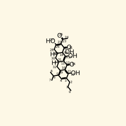 CCCc1cc(C(C)C)c2c(c1O)C(=O)C1=C(O)[C@]3(O)C(=O)C(C(C)=O)=C(O)C[C@@H]3C[C@@H]1C2